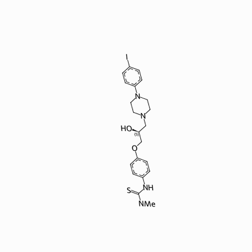 CNC(=S)Nc1ccc(OC[C@@H](O)CN2CCN(c3ccc(I)cc3)CC2)cc1